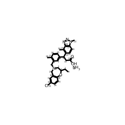 CCC1CN(Cc2cc(C(CC(=O)O)c3ccc4c(nnn4C)c3C)ccc2C)Cc2cc(Cl)ccc2O1.N